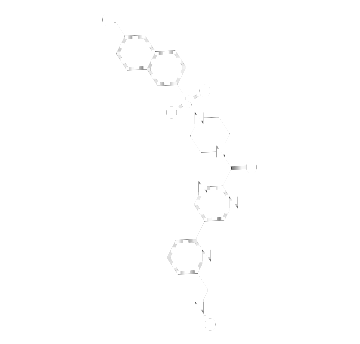 O=NCc1cccc(-c2cnc(C(=O)N3CCN(S(=O)(=O)c4ccc5cc(Cl)ccc5c4)CC3)nc2)n1